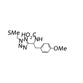 COc1ccc(CC(NC(=O)O)c2nnn(CSC)n2)cc1